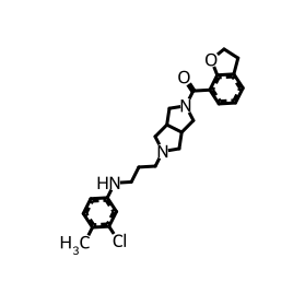 Cc1ccc(NCCCN2CC3CN(C(=O)c4cccc5c4OCC5)CC3C2)cc1Cl